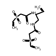 C=CC(CNC(=O)CS(=O)(=O)C=C)NC(=O)CS(=O)(=O)C=C